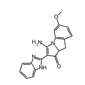 COc1ccc2c(c1)N1C(N)=C(c3nc4ccccc4[nH]3)C(=O)C1C2